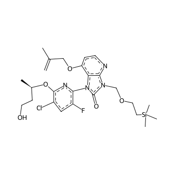 C=C(C)COc1ccnc2c1n(-c1nc(O[C@H](C)CCO)c(Cl)cc1F)c(=O)n2COCC[Si](C)(C)C